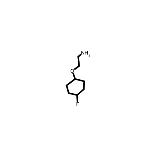 NCCOC1CCC(F)CC1